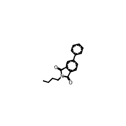 CCCCN1C(=O)c2ccc(-c3ccccc3)cc2C1=O